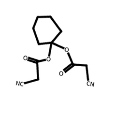 N#CCC(=O)OC1(OC(=O)CC#N)CCCCC1